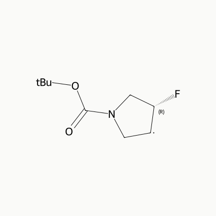 CC(C)(C)OC(=O)N1C[CH][C@@H](F)C1